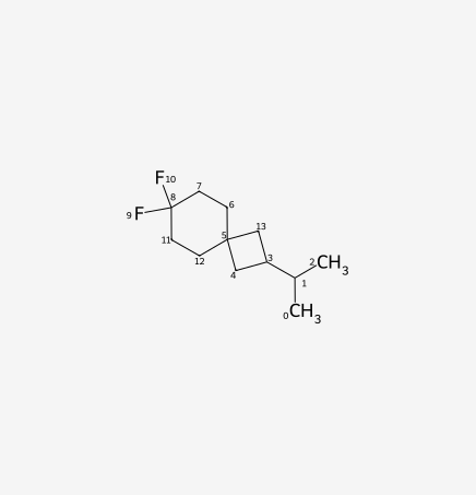 CC(C)C1CC2(CCC(F)(F)CC2)C1